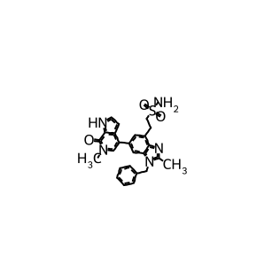 Cc1nc2c(CCS(N)(=O)=O)cc(-c3cn(C)c(=O)c4[nH]ccc34)cc2n1Cc1ccccc1